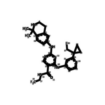 CC1(C)NCCc2cc(Nc3ncc(C(=O)NCC(F)(F)F)c(Nc4ccnc(C5(CF)CC5)c4)n3)ccc21